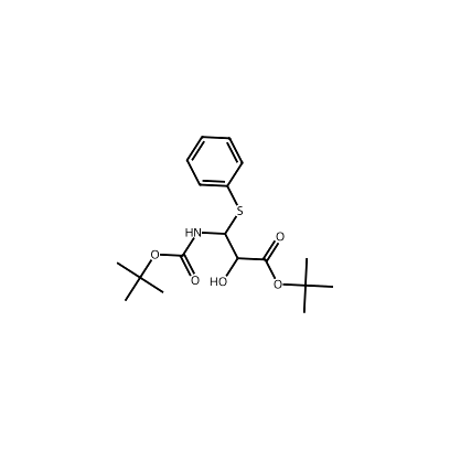 CC(C)(C)OC(=O)NC(Sc1ccccc1)C(O)C(=O)OC(C)(C)C